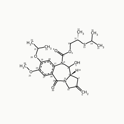 C=C1C[C@H]2C(O)N(C(=O)OC[C@H](C)SC(C)C)c3cc(OC(C)C)c(OC)cc3C(=O)N2C1